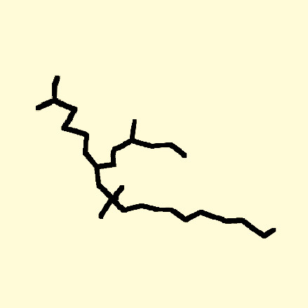 CCCCCCCCCC[N+](C)(C)CC(CCCCC(C)C)CCC(C)CCC